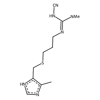 CN/C(=N/CCCSCc1[nH]cnc1C)NC#N